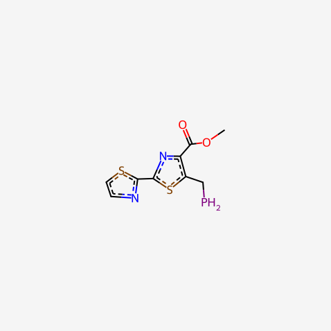 COC(=O)c1nc(-c2nccs2)sc1CP